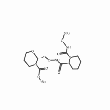 CCCCONC(=O)N1CCCC[C@H]1C(=O)NOC[C@H]1OCCCN1C(=O)OC(C)(C)C